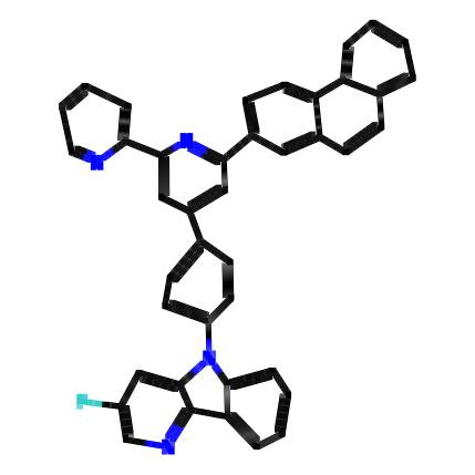 Fc1cnc2c3ccccc3n(-c3ccc(-c4cc(-c5ccc6c(ccc7ccccc76)c5)nc(-c5ccccn5)c4)cc3)c2c1